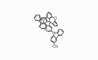 N#Cc1ccc2c(c1)c1ccccc1n2-c1cnc2c(c1)C1(c3ccccc3Oc3cccc(-n4c5ccccc5c5ccccc54)c31)c1cccnc1-2